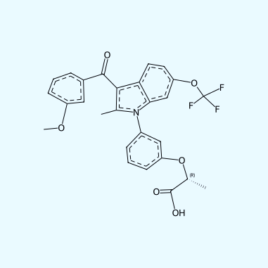 COc1cccc(C(=O)c2c(C)n(-c3cccc(O[C@H](C)C(=O)O)c3)c3cc(OC(F)(F)F)ccc23)c1